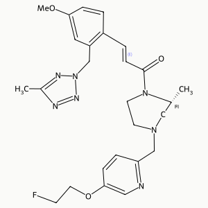 COc1ccc(/C=C/C(=O)N2CCN(Cc3ccc(OCCF)cn3)C[C@H]2C)c(Cn2nnc(C)n2)c1